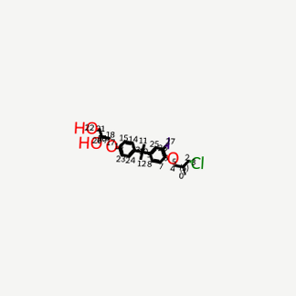 C[C@H](CCl)COc1ccc(C(C)(C)c2ccc(OC[C@H](O)CO)cc2)cc1I